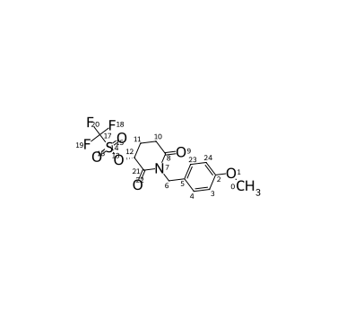 COc1ccc(CN2C(=O)CC[C@@H](OS(=O)(=O)C(F)(F)F)C2=O)cc1